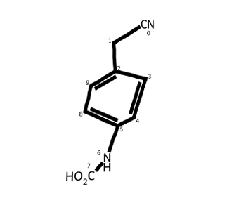 N#CCc1ccc(NC(=O)O)cc1